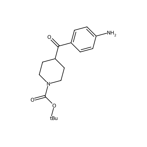 CC(C)(C)OC(=O)N1CCC(C(=O)c2ccc(N)cc2)CC1